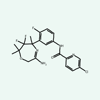 CC1(C)OCC(N)=NC(C)(c2cc(NC(=O)c3ccc(Cl)cn3)ccc2F)C1(F)F